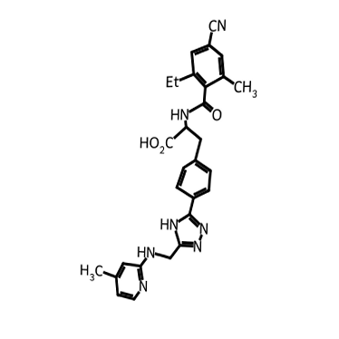 CCc1cc(C#N)cc(C)c1C(=O)NC(Cc1ccc(-c2nnc(CNc3cc(C)ccn3)[nH]2)cc1)C(=O)O